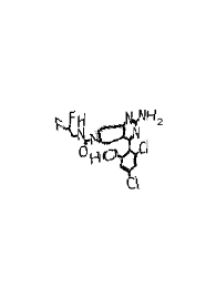 Nc1nc2c(c(-c3c(O)cc(Cl)cc3Cl)n1)CN(C(=O)NCC(F)F)C2